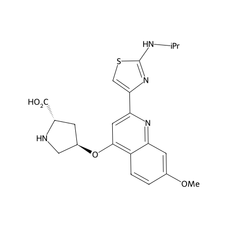 COc1ccc2c(O[C@H]3CN[C@H](C(=O)O)C3)cc(-c3csc(NC(C)C)n3)nc2c1